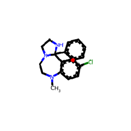 CN1CCN2CCNC2(c2ccccc2)c2cc(Cl)ccc21